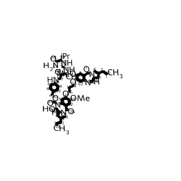 C/C=C/C1=CN2C(=O)c3cc(OC)c(OCCCOc4cc5c(cc4OC)C(=O)N4C=C(/C=C/C)C[C@H]4[C@H](O)N5C(=O)OCc4ccc(NCC(=O)[C@H](C)NCN[C@H](C(N)=O)C(C)C)cc4)cc3N=C[C@@H]2C1